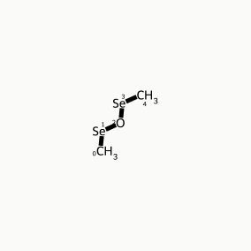 C[Se]O[Se]C